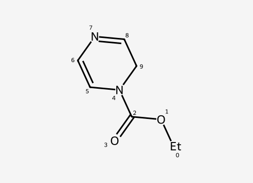 CCOC(=O)N1C=CN=CC1